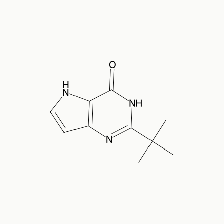 CC(C)(C)c1nc2cc[nH]c2c(=O)[nH]1